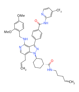 C=CCCCNC(=O)[C@@H]1CCC[C@@H](n2nc(-c3ccc(C(=O)Nc4cc(C(F)(F)F)ccn4)cc3)c3c(NCc4ccc(OC)cc4OC)ncc(CC=C)c32)C1